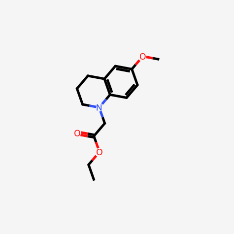 CCOC(=O)CN1CCCc2cc(OC)ccc21